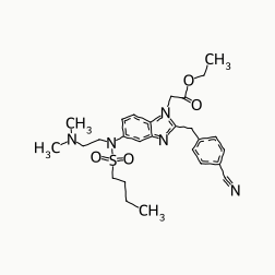 CCCCS(=O)(=O)N(CCN(C)C)c1ccc2c(c1)nc(Cc1ccc(C#N)cc1)n2CC(=O)OCC